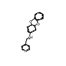 c1ccc2c(c1)Oc1ccc(NCc3ccncc3)cc1O2